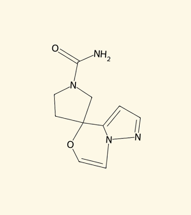 NC(=O)N1CCC2(C1)OC=Cn1nccc12